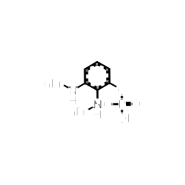 CCCNc1cccc(OP(=O)(O)O)c1NCCC